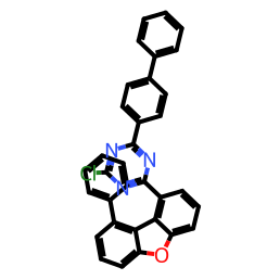 Clc1nc(-c2ccc(-c3ccccc3)cc2)nc(-c2cccc3oc4cccc(-c5ccccc5)c4c23)n1